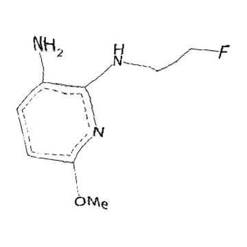 COc1ccc(N)c(NCCF)n1